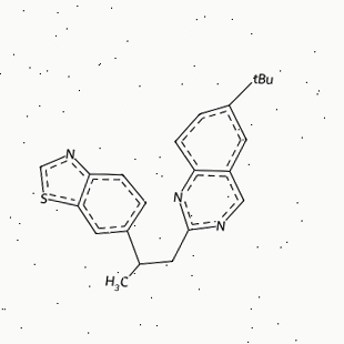 CC(Cc1ncc2cc(C(C)(C)C)ccc2n1)c1ccc2ncsc2c1